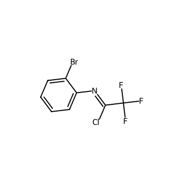 FC(F)(F)C(Cl)=Nc1ccccc1Br